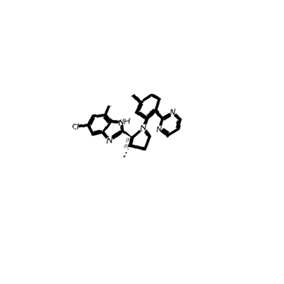 CC1=CC(N2CC[C@H](C)[C@H]2c2nc3cc(Cl)cc(C)c3[nH]2)=C(c2ncccn2)[CH]C1